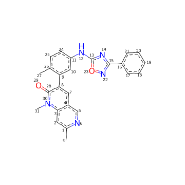 Cc1cc2c(cn1)cc(-c1cc(Nc3nc(-c4ccccc4)no3)ccc1C)c(=O)n2C